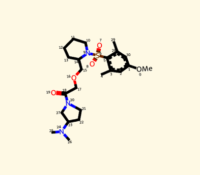 COc1cc(C)c(S(=O)(=O)N2CCCCC2COCC(=O)N2CCC(N(C)C)C2)c(C)c1